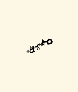 O=C(CN[C@H]1CC1c1ccccc1)NC1CCNC1